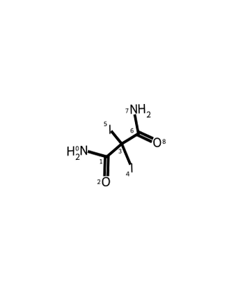 NC(=O)C(I)(I)C(N)=O